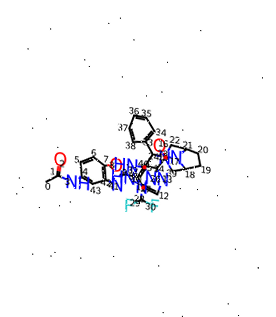 CC(=O)Nc1ccc2oc(-c3ccnc(C(=O)N4C5CCC4CN(C(C4=NN(C(F)F)NN4)c4ccccc4)C5)c3)nc2c1